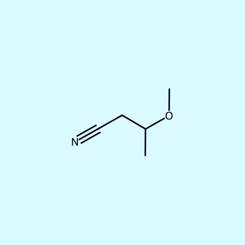 COC(C)CC#N